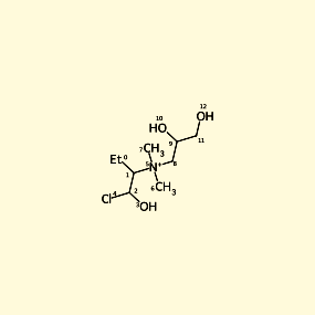 CCC(C(O)Cl)[N+](C)(C)CC(O)CO